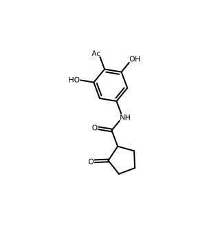 CC(=O)c1c(O)cc(NC(=O)C2CCCC2=O)cc1O